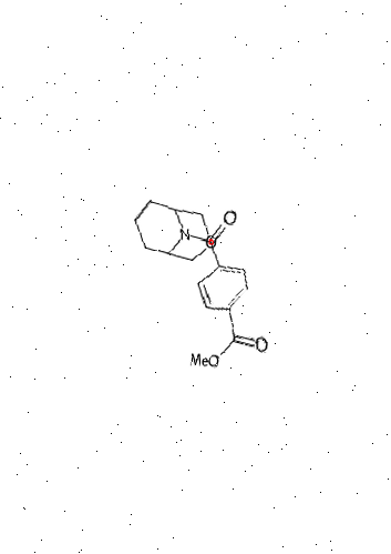 COC(=O)c1ccc(C(=O)N2C3CCCC2COC3)cc1